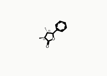 C[C@@H]1C(=O)OC(c2ccccc2)[C@H]1C